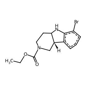 CCOC(=O)N1CCC2Nc3c(Br)cccc3[C@@H]2C1